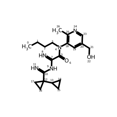 CCCCN(C(=O)C(=N)NC(=N)C1(C2CC2)CC1)c1cc(CO)cnc1C